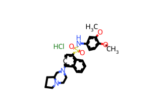 COc1ccc(NS(=O)(=O)c2ccc(N3CCN4CCCC4C3)c3ccccc23)cc1OC.Cl